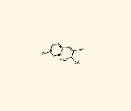 CCCC(=Cc1ccc(F)cc1)C(OC(C)=O)OC(C)=O